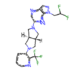 FC(F)Cn1ncc2ncc(N3C[C@@H]4CN(c5cccnc5C(F)(F)F)C[C@H]4C3)nc21